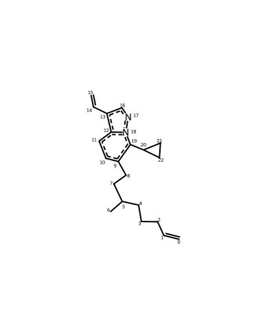 C=CCCCC(C)CCc1ccc2c(C=C)cnn2c1C1CC1